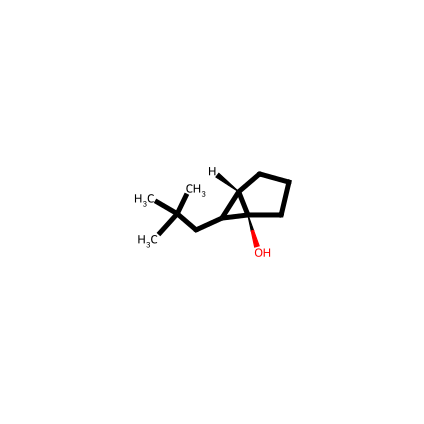 CC(C)(C)CC1[C@@H]2CCC[C@]12O